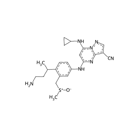 CC(CCN)c1ccc(Nc2cc(NC3CC3)n3ncc(C#N)c3n2)cc1C[S+](C)[O-]